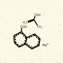 C=C(C)C(=O)[O-].O=C([O-])c1cccc2ccccc12.[Mg+2]